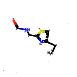 CCc1csc(CNC=O)n1